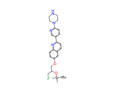 CC(C)(C)[Si](C)(C)OC(CF)COc1ccc2nc(-c3ccc(N4CCNCC4)nc3)ccc2c1